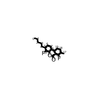 CCCCCc1ccc2c(oc(=O)c3c(F)c(C)ccc32)c1F